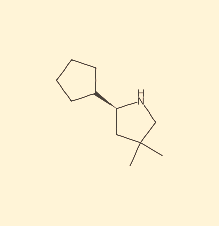 CC1(C)CN[C@H](C2CCCC2)C1